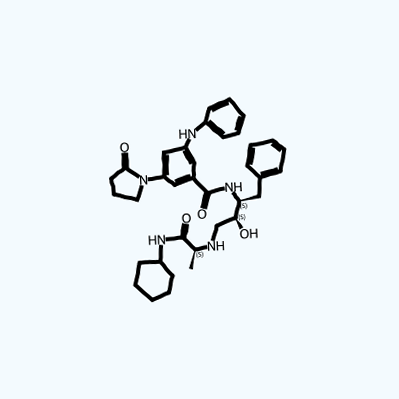 C[C@H](NC[C@H](O)[C@H](Cc1ccccc1)NC(=O)c1cc(Nc2ccccc2)cc(N2CCCC2=O)c1)C(=O)NC1CCCCC1